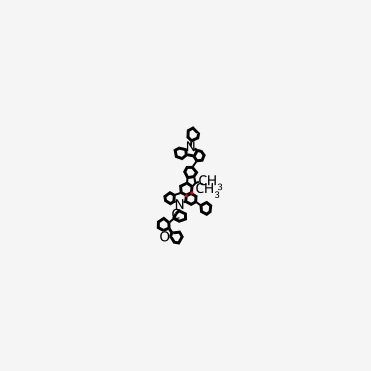 CC1(C)c2ccc(-c3ccccc3N(c3cccc(-c4ccccc4)c3)c3cccc(-c4cccc5oc6ccccc6c45)c3)cc2-c2ccc(-c3cccc4c3c3ccccc3n4-c3ccccc3)cc21